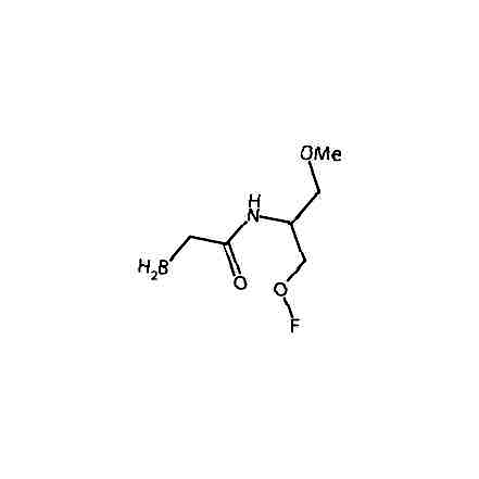 BCC(=O)NC(COC)COF